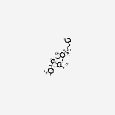 COc1cc(C(C)(C)c2cnc(SCc3c(F)cc(S(=O)(=O)NCCc4ccc[n+](C)c4)cc3Cl)n2-c2ccc(F)cc2)ccc1F.[Cl-]